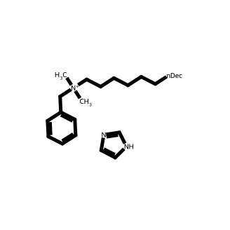 CCCCCCCCCCCCCCCC[N+](C)(C)Cc1ccccc1.c1c[nH]cn1